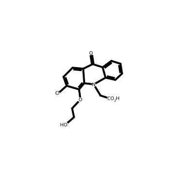 O=C(O)Cn1c2ccccc2c(=O)c2ccc(Cl)c(OCCO)c21